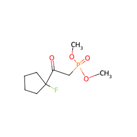 COP(=O)(CC(=O)C1(F)CCCC1)OC